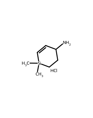 C[Si]1(C)C=CC(N)CC1.Cl